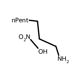 CCCCCCCCN.O=[N+]([O-])O